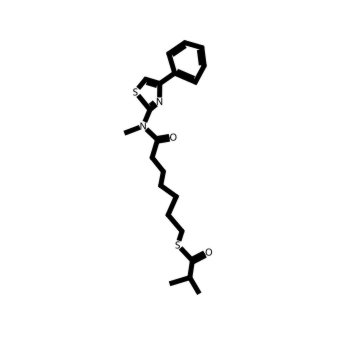 CC(C)C(=O)SCCCCCCC(=O)N(C)c1nc(-c2ccccc2)cs1